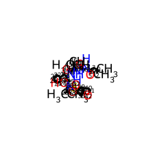 CC(C)CC(=O)NCC(=O)NC(C(=O)NC(Cc1ccccc1)C(O)CN(CC(C)C)S(=O)(=O)c1ccc2c(c1)CCO2)C(C)(C)C